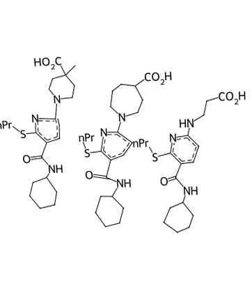 CCCSc1nc(N2CCC(C)(C(=O)O)CC2)ccc1C(=O)NC1CCCCC1.CCCSc1nc(N2CCCC(C(=O)O)CC2)ccc1C(=O)NC1CCCCC1.CCCSc1nc(NCCC(=O)O)ccc1C(=O)NC1CCCCC1